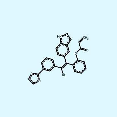 C=CC(=O)Oc1ccccc1/C(=C(\CC)c1cccc(-c2nccs2)c1)c1ccc2[nH]ncc2c1